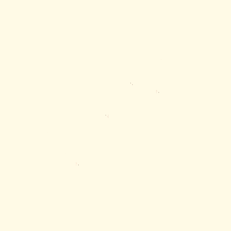 CC(=N)/C(=C(/C)O)c1cnc2c(-c3cnc(C4CC4)nc3)cc(C(C)c3ccccc3)cc2c1